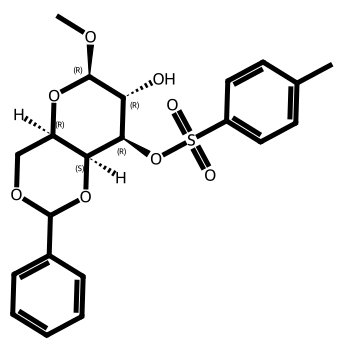 CO[C@@H]1O[C@@H]2COC(c3ccccc3)O[C@@H]2[C@H](OS(=O)(=O)c2ccc(C)cc2)[C@H]1O